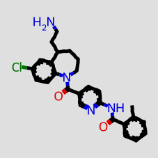 Cc1ccccc1C(=O)Nc1ccc(C(=O)N2CCCC(CCN)c3cc(Cl)ccc32)cn1